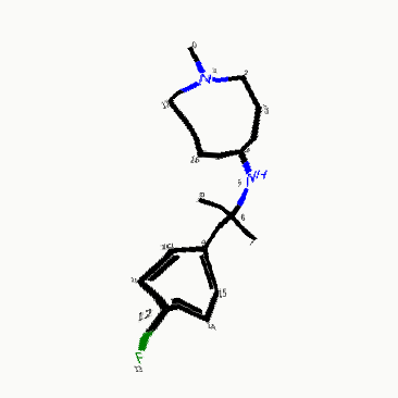 CN1CCC(NC(C)(C)c2ccc(F)cc2)CC1